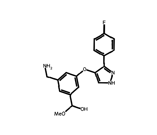 COC(O)c1cc(CN)cc(Oc2c[nH]nc2-c2ccc(F)cc2)c1